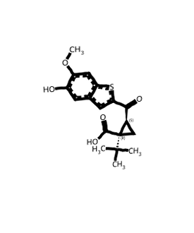 COc1cc2sc(C(=O)[C@H]3C[C@]3(C(=O)O)C(C)(C)C)cc2cc1O